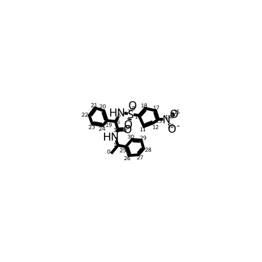 CC(NC(=O)C(NS(=O)(=O)c1ccc([N+](=O)[O-])cc1)c1ccccc1)c1ccccc1